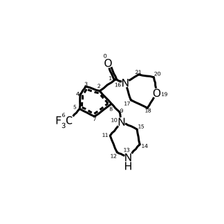 O=C(c1ccc(C(F)(F)F)cc1CN1CCNCC1)N1CCOCC1